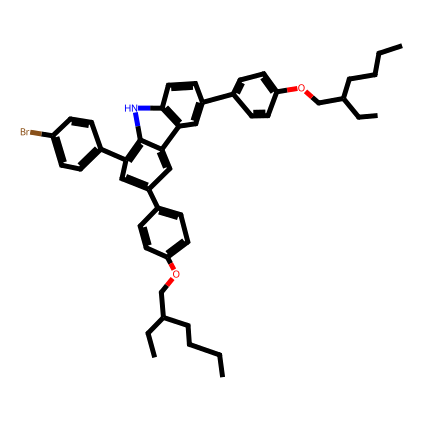 CCCCC(CC)COc1ccc(-c2ccc3[nH]c4c(-c5ccc(Br)cc5)cc(-c5ccc(OCC(CC)CCCC)cc5)cc4c3c2)cc1